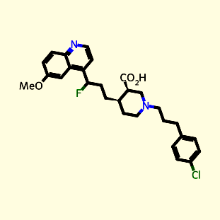 COc1ccc2nccc(C(F)CC[C@@H]3CCN(CCCc4ccc(Cl)cc4)C[C@@H]3C(=O)O)c2c1